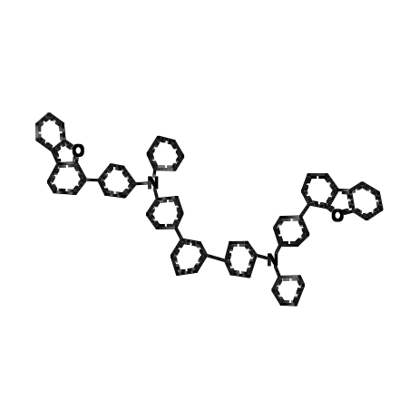 c1ccc(N(c2ccc(-c3cccc(-c4ccc(N(c5ccccc5)c5ccc(-c6cccc7c6oc6ccccc67)cc5)cc4)c3)cc2)c2ccc(-c3cccc4c3oc3ccccc34)cc2)cc1